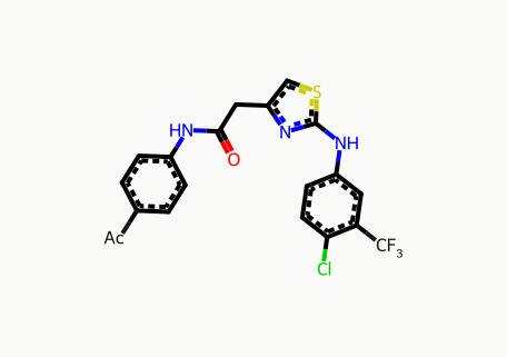 CC(=O)c1ccc(NC(=O)Cc2csc(Nc3ccc(Cl)c(C(F)(F)F)c3)n2)cc1